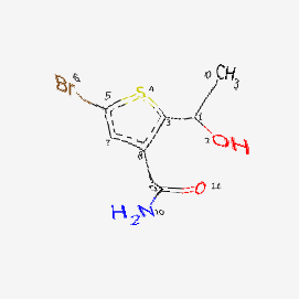 CC(O)c1sc(Br)cc1C(N)=O